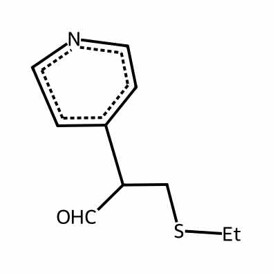 CCSCC(C=O)c1ccncc1